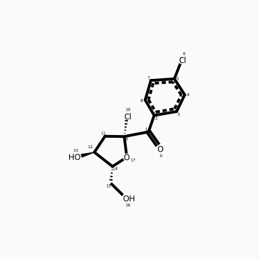 O=C(c1ccc(Cl)cc1)[C@]1(Cl)C[C@H](O)[C@@H](CO)O1